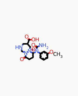 COc1cccc(N(C(N)=O)C2CCC(=O)N3CNCC(C(=O)O)C[N+]23[O-])c1